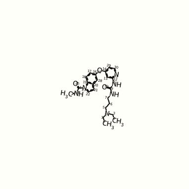 CCN(CC)CCCNC(=O)Nc1cc(Oc2ccc3c(ccn3C(=O)NC)c2)ccn1